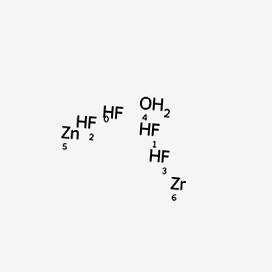 F.F.F.F.O.[Zn].[Zr]